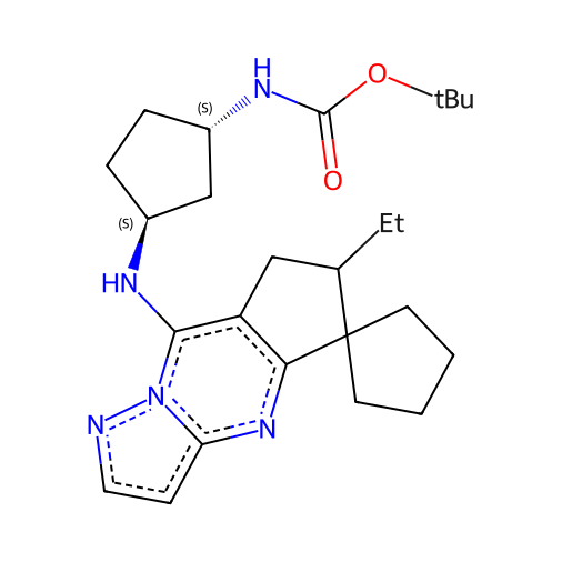 CCC1Cc2c(nc3ccnn3c2N[C@H]2CC[C@H](NC(=O)OC(C)(C)C)C2)C12CCCC2